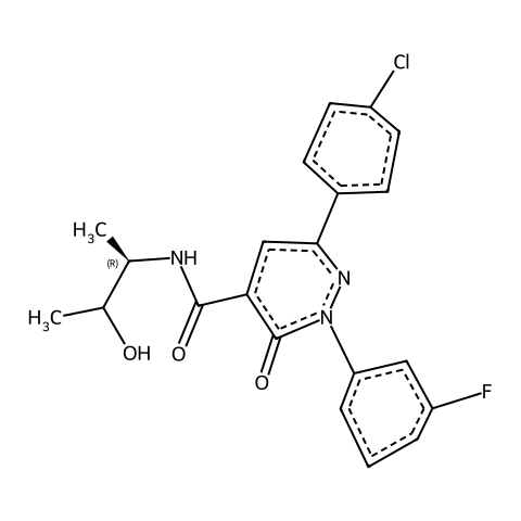 CC(O)[C@@H](C)NC(=O)c1cc(-c2ccc(Cl)cc2)nn(-c2cccc(F)c2)c1=O